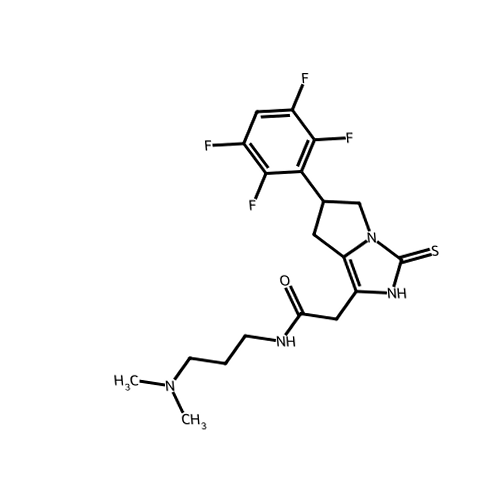 CN(C)CCCNC(=O)Cc1[nH]c(=S)n2c1CC(c1c(F)c(F)cc(F)c1F)C2